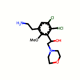 COc1c(CCN)cc(Cl)c(C)c1C(O)CN1CCOCC1.Cl